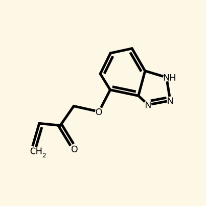 C=CC(=O)COc1cccc2[nH]nnc12